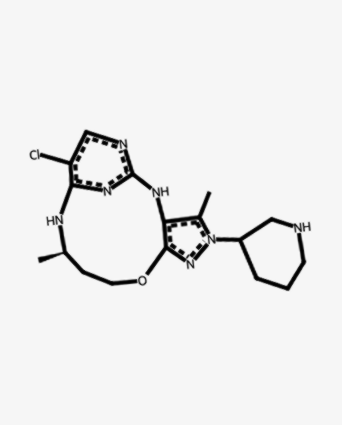 Cc1c2c(nn1C1CCCNC1)OCC[C@@H](C)Nc1nc(ncc1Cl)N2